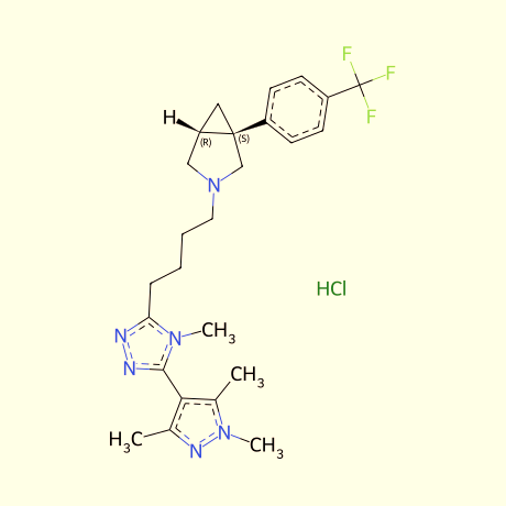 Cc1nn(C)c(C)c1-c1nnc(CCCCN2C[C@@H]3C[C@]3(c3ccc(C(F)(F)F)cc3)C2)n1C.Cl